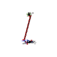 CCCN(OCCNC(=O)OCCOCCOCCOCCOCCOCCOCCOCCOCCOCCOCCC(=O)Oc1c(F)c(F)c(S(=O)(=O)O)c(F)c1F)C(=O)C1=Cc2ccc(C(=O)N(C)C)cc2N=C(N)C1